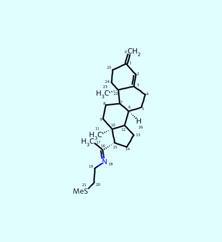 C=C1C=C2CC[C@@H]3C(CC[C@@]4(C)C3CC[C@@H]4/C(C)=N/CCSC)[C@@]2(C)CC1